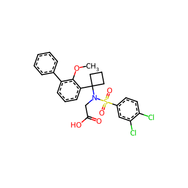 COc1c(-c2ccccc2)cccc1C1(N(CC(=O)O)S(=O)(=O)c2ccc(Cl)c(Cl)c2)CCC1